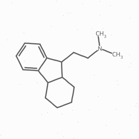 CN(C)CCC1c2ccccc2C2CCCCC21